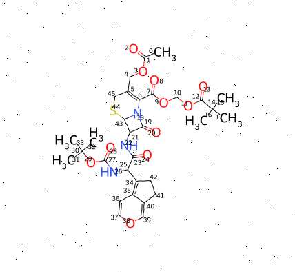 CC(=O)OCC1=C(C(=O)OCOC(=O)C(C)(C)C)N2C(=O)C(NC(=O)C(NC(=O)OC(C)(C)C)C3=C4C=COC=C4CC3)C2SC1